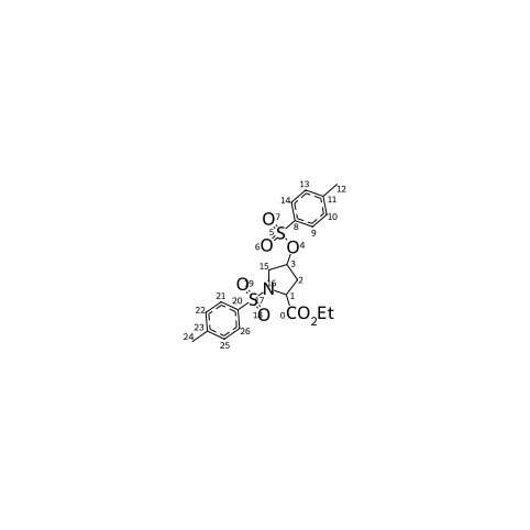 CCOC(=O)C1CC(OS(=O)(=O)c2ccc(C)cc2)CN1S(=O)(=O)c1ccc(C)cc1